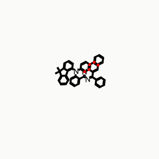 CC1(C)c2ccccc2-c2c(N(c3ccc(-c4ccccc4)cc3)c3ccccc3-c3nc(-c4ccccc4)c4ccccc4n3)cccc21